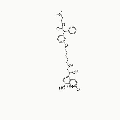 CN(C)CCOC(=O)C(c1ccccc1)c1cccc(OCCCCCNCC(O)c2ccc(O)c3[nH]c(=O)ccc23)c1